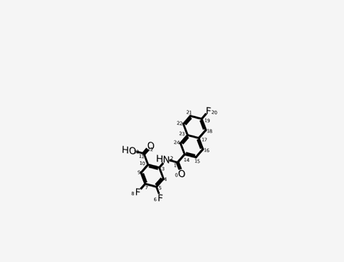 O=C(Nc1cc(F)c(F)cc1C(=O)O)c1ccc2cc(F)ccc2c1